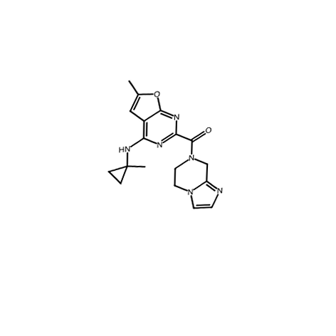 Cc1cc2c(NC3(C)CC3)nc(C(=O)N3CCn4ccnc4C3)nc2o1